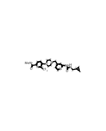 CNC(=O)c1ccc(N2CCN(Cc3ccnc(NC(=O)NCC4CC4)c3)CC2)c(C(F)(F)F)n1